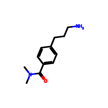 CN(C)C(=O)c1ccc(CCCN)cc1